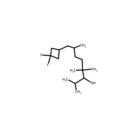 CC(CCC(C)(C)C(O)C(C)C)CC1CC(F)(F)C1